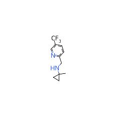 CC1(NCc2ccc(C(F)(F)F)cn2)CC1